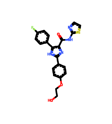 O=C(Nc1nccs1)c1nc(-c2ccc(OCCO)cc2)[nH]c1-c1ccc(F)cc1